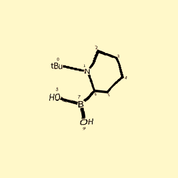 CC(C)(C)N1CCCCC1B(O)O